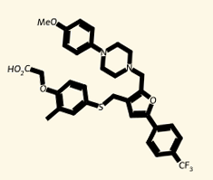 COc1ccc(N2CCN(Cc3oc(-c4ccc(C(F)(F)F)cc4)cc3CSc3ccc(OCC(=O)O)c(C)c3)CC2)cc1